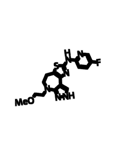 COCCN1CCc2sc(Nc3ccc(F)cn3)nc2-c2c[nH]nc21